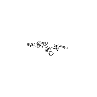 CC(C)SC(C)(C)C(C)(C)C(C(F)(F)F)(C(F)(F)F)C(C)(C)C(C)(C)PC(C)(C)C(C)(C)P(=O)(c1ccccc1)C(C)(C)CCC(C)(C)S(=O)(=O)C(C)(C)C(C)(C)OC(C)(C)C